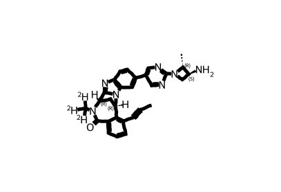 [2H]C([2H])([2H])N1C(=O)c2cccc(C#CC)c2[C@H]2C[C@@H]1c1nc3ccc(-c4cnc(N5C[C@H](N)[C@H]5C)nc4)cc3n12